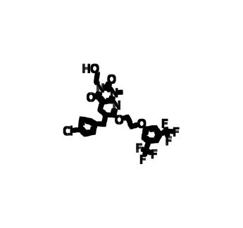 Cn1c2c(c(=O)n(CCO)c1=O)CC(Cc1ccc(Cl)cc1)C(OCCOc1cc(C(F)(F)F)cc(C(F)(F)F)c1)=N2